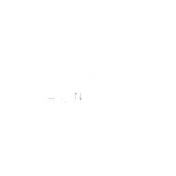 CN(Cc1ccccc1)[C]1CCCO1